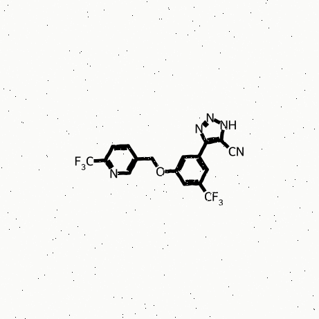 N#Cc1[nH]nnc1-c1cc(OCc2ccc(C(F)(F)F)nc2)cc(C(F)(F)F)c1